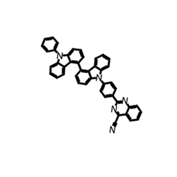 N#Cc1nc(-c2ccc(-n3c4ccccc4c4c(-c5cccc6c5c5ccccc5n6-c5ccccc5)cccc43)cc2)nc2ccccc12